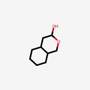 OC1CC2CCCCC2CO1